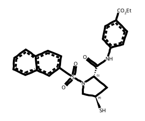 CCOC(=O)c1ccc(NC(=O)[C@@H]2C[C@@H](S)CN2S(=O)(=O)c2ccc3ccccc3c2)cc1